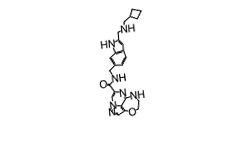 O=C(NCc1ccc2cc(CNCC3CCC3)[nH]c2c1)c1cn2ncc3c2c(n1)NCCO3